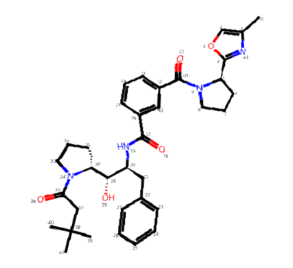 Cc1coc([C@H]2CCCN2C(=O)c2cccc(C(=O)N[C@@H](Cc3ccccc3)[C@H](O)[C@H]3CCCN3C(=O)CC(C)(C)C)c2)n1